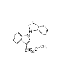 CC(=O)O.Cc1cn(N2CSc3ccccc32)c2ccccc12